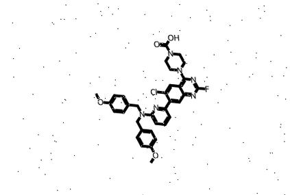 COc1ccc(CN(Cc2ccc(OC)cc2)c2cccc(-c3cc4nc(F)nc(N5CCN(C(=O)O)CC5)c4cc3Cl)n2)cc1